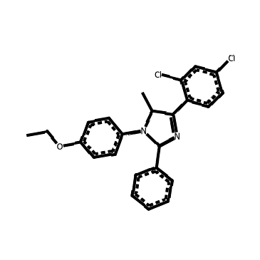 CCOc1ccc(N2C(C)C(c3ccc(Cl)cc3Cl)=NC2c2ccccc2)cc1